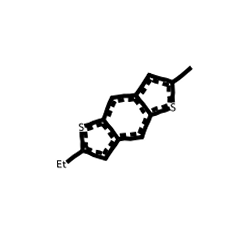 CCc1cc2cc3sc(C)cc3cc2s1